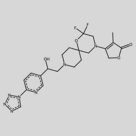 CC1=C(N2CC(F)(F)OC3(CCN(CC(O)c4ccc(-n5cnnn5)nc4)CC3)C2)COC1=O